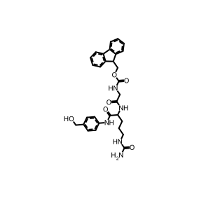 NC(=O)NCCCC(NC(=O)CNC(=O)OCC1c2ccccc2-c2ccccc21)C(=O)Nc1ccc(CO)cc1